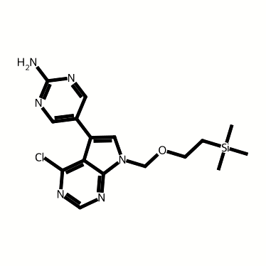 C[Si](C)(C)CCOCn1cc(-c2cnc(N)nc2)c2c(Cl)ncnc21